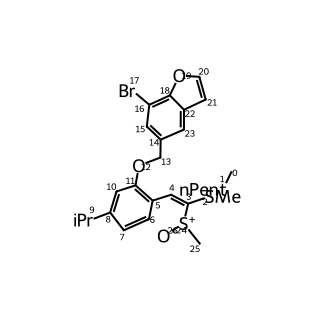 CCCCCC.CSC(=Cc1ccc(C(C)C)cc1OCc1cc(Br)c2occc2c1)[S+](C)[O-]